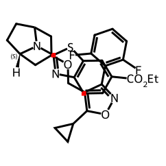 CCOC(=O)c1ccc2nc(N3C4CC[C@H]3CC(OCc3c(-c5c(F)cccc5F)noc3C3CC3)C4)sc2c1